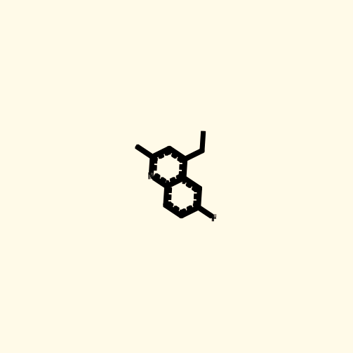 CCc1cc(C)nc2ccc(F)cc12